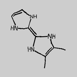 CC1=C(C)NC(=C2NC=CN2)N1